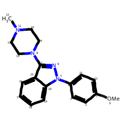 COc1ccc(-n2nc(N3CCN(C)CC3)c3ccccc32)cc1